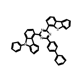 c1ccc(-c2ccc(-c3nc(-c4cccc5c4sc4ccccc45)nc(-c4cccc5c4c4ccccc4n5-c4ccccc4)n3)cc2)cc1